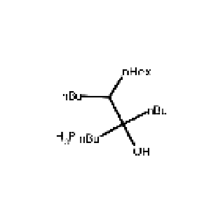 CCCCCCC(CCCC)C(O)(CCCC)CCCC.P